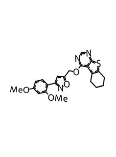 COc1ccc(-c2cc(COc3ncnc4sc5c(c34)CCCC5)on2)c(OC)c1